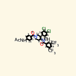 CC(=O)Nc1ccc(C(=O)N2CC[C@@H](N(C)C(=O)c3cc(C(F)(F)F)cc(C(F)(F)F)c3)[C@H](c3ccc(Cl)c(Cl)c3)C2)cc1